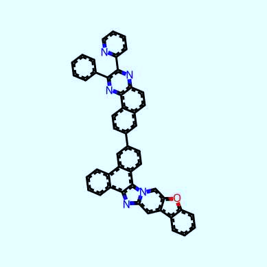 c1ccc(-c2nc3c(ccc4cc(-c5ccc6c(c5)c5ccccc5c5nc7cc8c(cn7c65)oc5ccccc58)ccc43)nc2-c2ccccn2)cc1